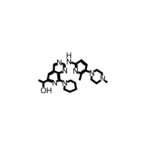 Cc1nc(Nc2ncc3cc(C(C)O)nc(N4CCCCC4)c3n2)ccc1N1CCN(C)CC1